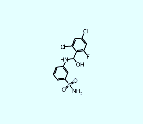 NS(=O)(=O)c1cccc(NC(O)c2c(F)cc(Cl)cc2Cl)c1